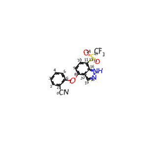 N#Cc1ccccc1Oc1ccc(S(=O)(=O)C(F)(F)F)c2[nH]ncc12